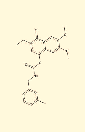 CCn1cc(OC(=O)NCc2cccc(C)c2)c2cc(OC)c(OC)cc2c1=O